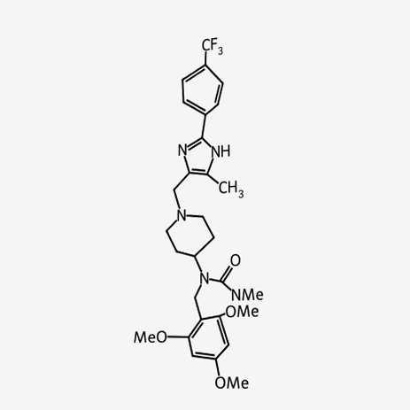 CNC(=O)N(Cc1c(OC)cc(OC)cc1OC)C1CCN(Cc2nc(-c3ccc(C(F)(F)F)cc3)[nH]c2C)CC1